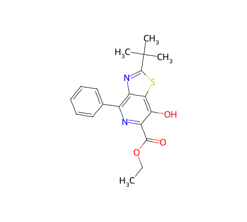 CCOC(=O)c1nc(-c2ccccc2)c2nc(C(C)(C)C)sc2c1O